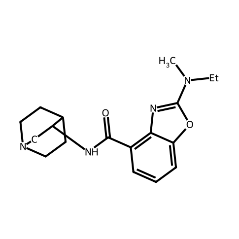 CCN(C)c1nc2c(C(=O)NC3CN4CCC3CC4)cccc2o1